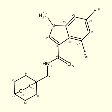 Cn1cc(C(=O)NCC23CCC(CC2)CC3)c2c(Cl)cc(F)cc21